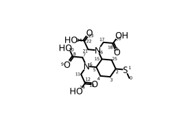 CSC1CCC(N(CC(=O)O)CC(=O)O)C(N(CC(=O)O)CC(=O)O)C1